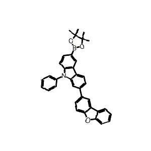 CC1(C)OB(c2ccc3c(c2)c2ccc(-c4ccc5oc6ccccc6c5c4)cc2n3-c2ccccc2)OC1(C)C